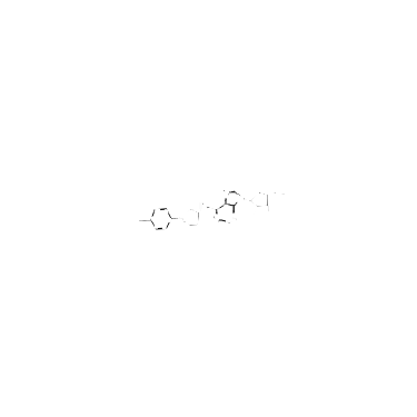 CO[C@@H]1C[C@@H](n2cnc3c(N[C@H]4CCN(c5ccc(Cl)cc5)C4)ncnc32)[C@H](O)[C@@]1(C)O